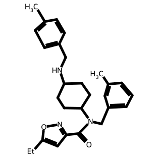 CCc1cc(C(=O)N(Cc2cccc(C)c2)C2CCC(NCc3ccc(C)cc3)CC2)no1